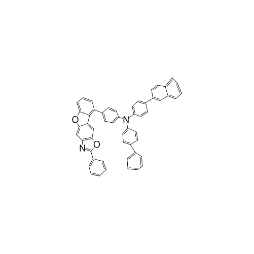 c1ccc(-c2ccc(N(c3ccc(-c4ccc5ccccc5c4)cc3)c3ccc(-c4cccc5oc6cc7nc(-c8ccccc8)oc7cc6c45)cc3)cc2)cc1